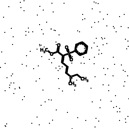 CCN(C)/C=C/C=C(/C(=O)OC)S(=O)(=O)c1ccccc1